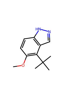 COc1ccc2[nH]ncc2c1C(C)(C)C